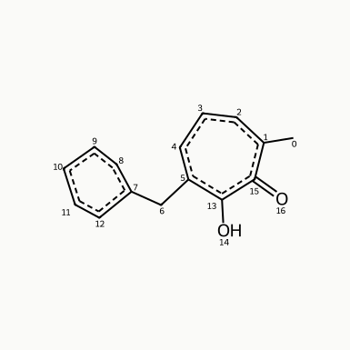 Cc1cccc(Cc2ccccc2)c(O)c1=O